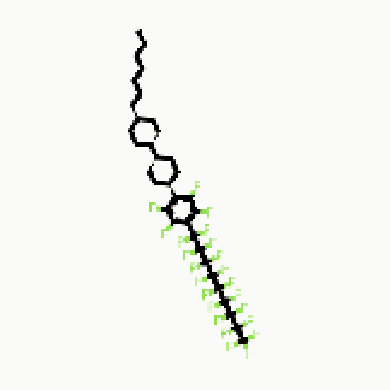 CCCCCCC[C@H]1CC[C@H]([C@H]2CC[C@H](c3c(F)c(F)c(C(F)(F)C(F)(F)C(F)(F)C(F)(F)C(F)(F)C(F)(F)C(F)(F)C(F)(F)C(F)(F)F)c(F)c3F)CC2)CC1